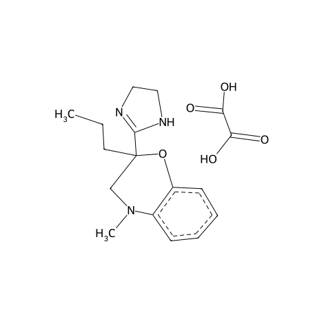 CCCC1(C2=NCCN2)CN(C)c2ccccc2O1.O=C(O)C(=O)O